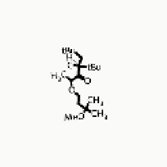 COC(C)(C)CCOC(C)C(=O)C(C)(CC(C)(C)C)C(C)(C)C